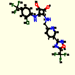 O=c1c(NCc2ccc(-c3noc(C(F)(F)F)n3)cn2)c(Nc2ccc(C(F)(F)F)cc2Cl)c1=O